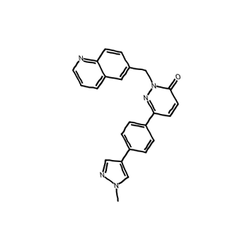 Cn1cc(-c2ccc(-c3ccc(=O)n(Cc4ccc5ncccc5c4)n3)cc2)cn1